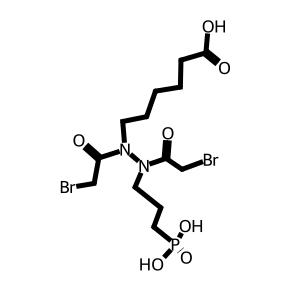 O=C(O)CCCCCN(C(=O)CBr)N(CCCP(=O)(O)O)C(=O)CBr